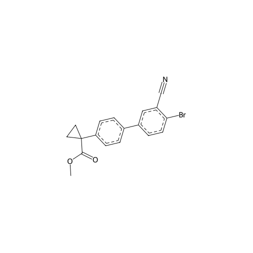 COC(=O)C1(c2ccc(-c3ccc(Br)c(C#N)c3)cc2)CC1